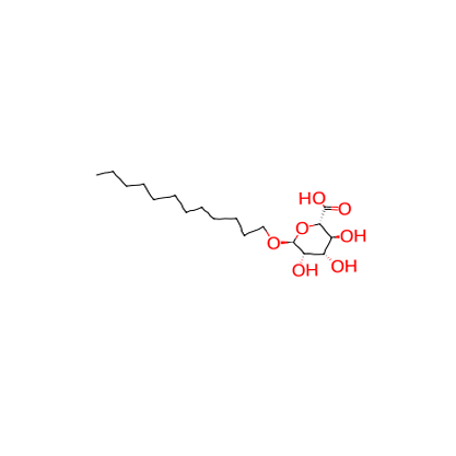 CCCCCCCCCCCCO[C@H]1O[C@H](C(=O)O)[C@@H](O)[C@H](O)[C@@H]1O